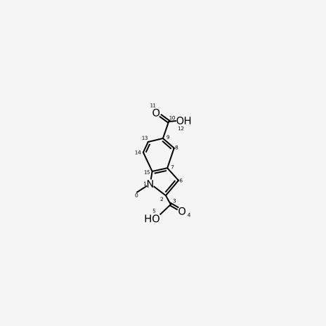 Cn1c(C(=O)O)cc2cc(C(=O)O)ccc21